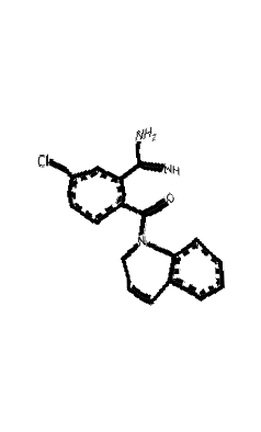 N=C(N)c1cc(Cl)ccc1C(=O)N1CC=Cc2ccccc21